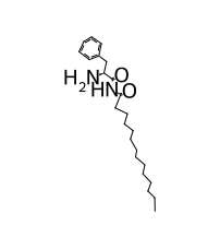 CCCCCCCCCCCCCC(=O)NC(=O)[C@@H](N)Cc1ccccc1